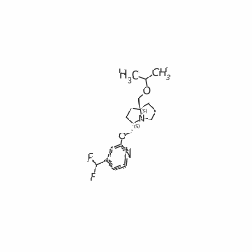 CC(C)OC[C@@]12CCCN1[C@H](COc1cc(C(F)F)ccn1)CC2